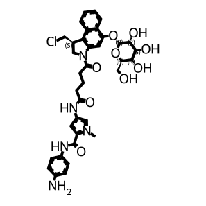 Cn1cc(NC(=O)CCCC(=O)N2C[C@@H](CCl)c3c2cc(O[C@H]2O[C@H](CO)[C@H](O)[C@H](O)[C@H]2O)c2ccccc32)cc1C(=O)Nc1ccc(N)cc1